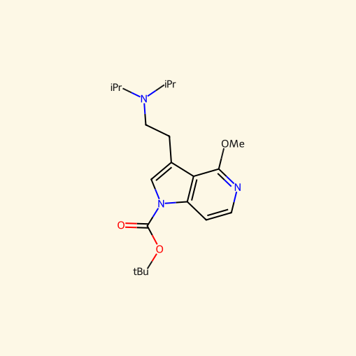 COc1nccc2c1c(CCN(C(C)C)C(C)C)cn2C(=O)OC(C)(C)C